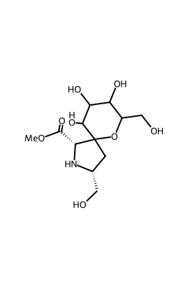 COC(=O)[C@H]1N[C@@H](CO)CC12OC(CO)C(O)C(O)C2O